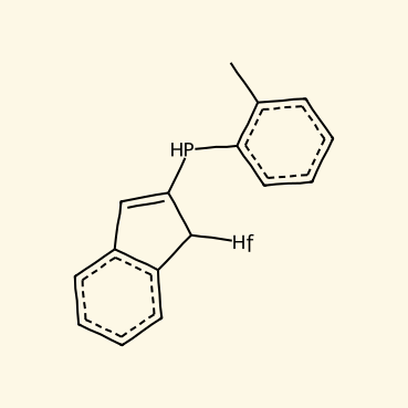 Cc1ccccc1PC1=Cc2ccccc2[CH]1[Hf]